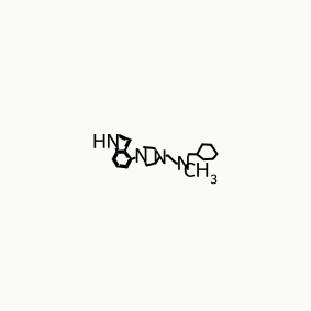 CN(CCN1CCN(c2cccc3[nH]ccc23)CC1)CC1CCCCC1